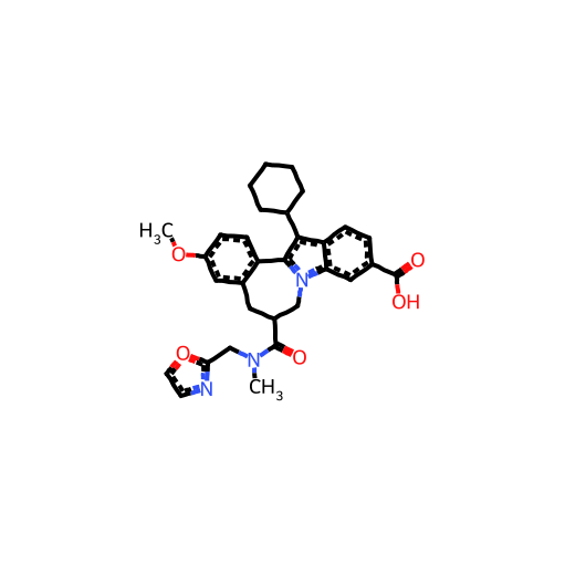 COc1ccc2c(c1)CC(C(=O)N(C)Cc1ncco1)Cn1c-2c(C2CCCCC2)c2ccc(C(=O)O)cc21